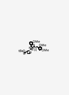 COc1ccc(CNc2nc3c(OC)cccc3c3nc([C@H]4CN(C(=O)OC(C)(C)C)CCO4)nn23)c(OC)c1